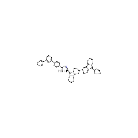 N=C(/C=C\Nn1c2ccccc2c2cc(-c3ccc4c(c3)c3ccccc3n4-c3ccccc3)ccc21)c1ccc(-c2cccc(-c3ccccc3)c2)cc1